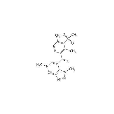 Cc1c(C(=O)C(=CN(C)C)c2cnnn2C)ccc(C(F)(F)F)c1S(C)(=O)=O